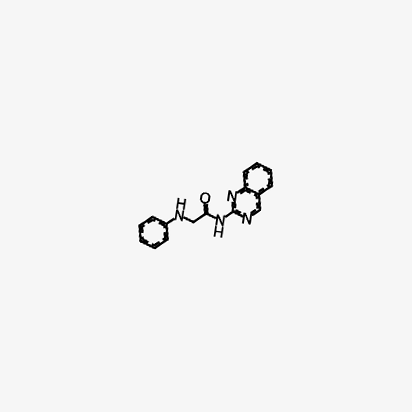 O=C(CNc1ccccc1)Nc1ncc2ccccc2n1